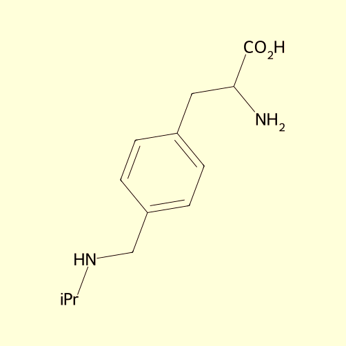 CC(C)NCc1ccc(CC(N)C(=O)O)cc1